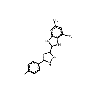 Fc1ccc(C2CC(C3Nc4cc(C(F)(F)F)cc(C(F)(F)F)c4N3)NN2)cc1